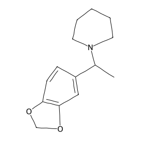 CC(c1ccc2c(c1)OCO2)N1CCCCC1